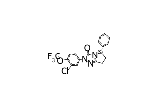 O=c1n(-c2ccc(OC(F)(F)F)c(Cl)c2)nc2n1[C@H](c1ccccc1)CC2